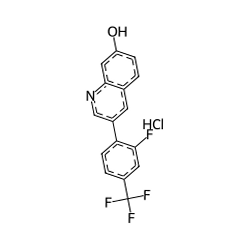 Cl.Oc1ccc2cc(-c3ccc(C(F)(F)F)cc3F)cnc2c1